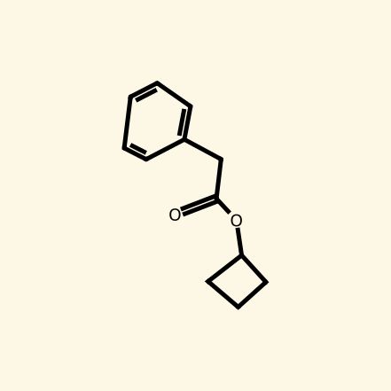 O=C(Cc1ccccc1)OC1CCC1